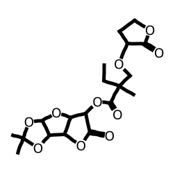 CCC(C)(COC1CCOC1=O)C(=O)OC1C(=O)OC2C3OC(C)(C)OC3OC12